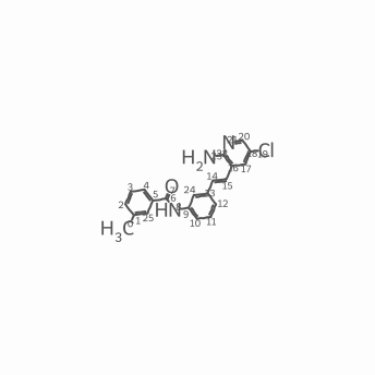 Cc1cccc(C(=O)Nc2cccc(/C=C/c3cc(Cl)cnc3N)c2)c1